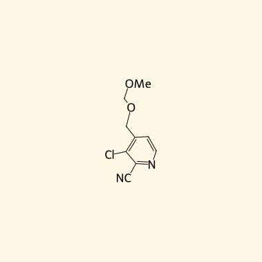 COCOCc1ccnc(C#N)c1Cl